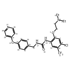 CCN(CC)CCOc1cc(Cl)c(C(F)(F)F)cc1NC(=O)NCc1ccc(Oc2ccncc2)cc1